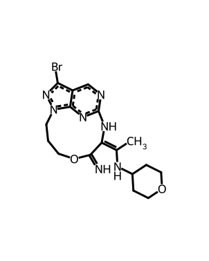 C/C(NC1CCOCC1)=C1\Nc2ncc3c(Br)nn(c3n2)CCCOC1=N